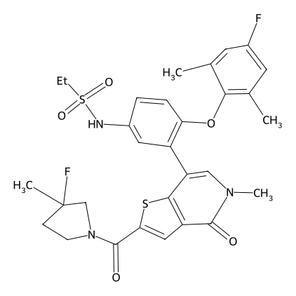 CCS(=O)(=O)Nc1ccc(Oc2c(C)cc(F)cc2C)c(-c2cn(C)c(=O)c3cc(C(=O)N4CCC(C)(F)C4)sc23)c1